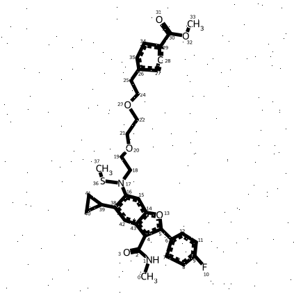 CNC(=O)c1c(-c2ccc(F)cc2)oc2cc(N(CCOCCOCCc3ccc(C(=O)OC)cc3)SC)c(C3CC3)cc12